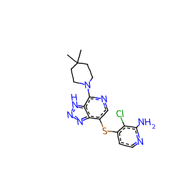 CC1(C)CCN(c2ncc(Sc3ccnc(N)c3Cl)c3nn[nH]c23)CC1